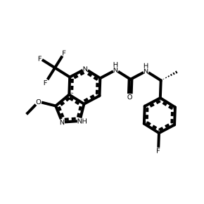 COc1n[nH]c2cc(NC(=O)N[C@H](C)c3ccc(F)cc3)nc(C(F)(F)F)c12